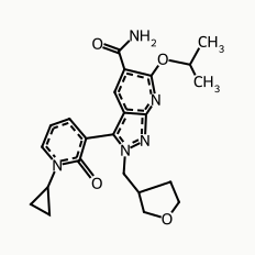 CC(C)Oc1nc2nn(CC3CCOC3)c(-c3cccn(C4CC4)c3=O)c2cc1C(N)=O